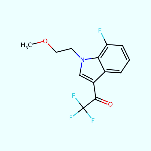 COCCn1cc(C(=O)C(F)(F)F)c2cccc(F)c21